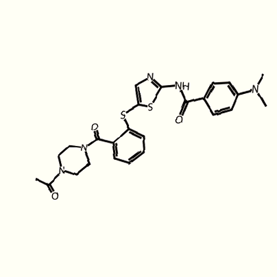 CC(=O)N1CCN(C(=O)c2ccccc2Sc2cnc(NC(=O)c3ccc(N(C)C)cc3)s2)CC1